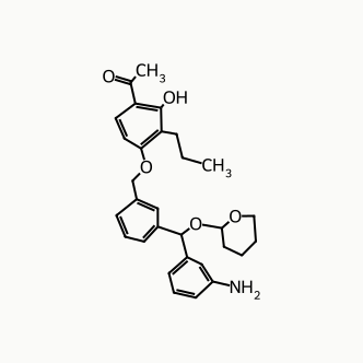 CCCc1c(OCc2cccc(C(OC3CCCCO3)c3cccc(N)c3)c2)ccc(C(C)=O)c1O